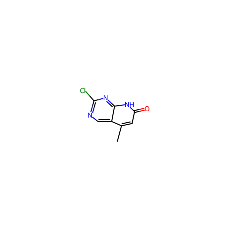 Cc1cc(=O)[nH]c2nc(Cl)ncc12